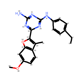 CCc1ccc(Nc2nc(N)nc(-c3oc4cc(OC)ccc4c3C)n2)cc1